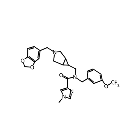 Cn1cnc(C(=O)N(Cc2cccc(OC(F)(F)F)c2)CC2C3CN(Cc4ccc5c(c4)OCO5)CC32)c1